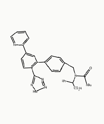 CCCCC(=O)N(Cc1ccc(-c2cc(-c3ccccn3)ccc2-c2nn[nH]n2)cc1)C(C(=O)O)C(C)C